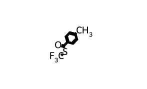 Cc1ccc(C(=O)SC(F)(F)F)cc1